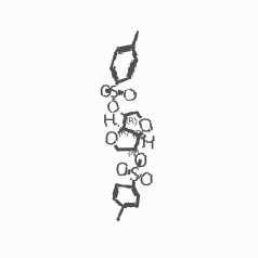 Cc1ccc(S(=O)(=O)O[C@@H]2CO[C@@H]3[C@H]2OC[C@H]3OS(=O)(=O)c2ccc(C)cc2)cc1